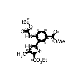 CCOC(=O)c1nc(-c2cc(C(=O)OC)ccc2NC(=O)OC(C)(C)C)[nH]c1C